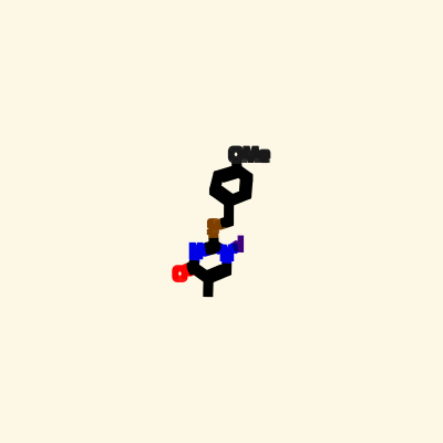 COc1ccc(CSc2nc(=O)c(C)cn2I)cc1